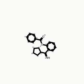 N=C(c1ccccc1OC(=O)c1ccccc1)C1CCCC1